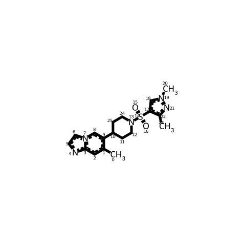 Cc1cc2nccn2cc1C1CCN(S(=O)(=O)c2cn(C)nc2C)CC1